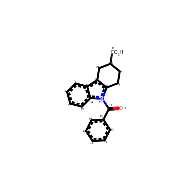 O=C(O)C1CCc2c(c3ccccc3n2C(=O)c2ccccc2)C1